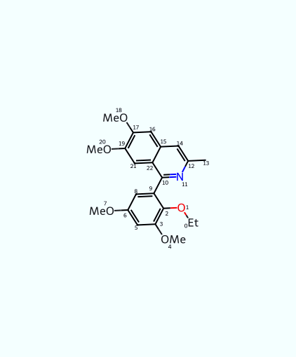 CCOc1c(OC)cc(OC)cc1-c1nc(C)cc2cc(OC)c(OC)cc12